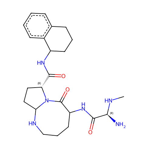 CN[C@@H](N)C(=O)NC1CCCNC2CC[C@H](C(=O)NC3CCCc4ccccc43)N2C1=O